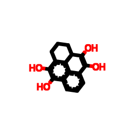 OC1=C(O)C2CCCc3c(O)c(O)c4cccc1c4c32